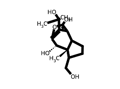 CC(C)(O)c1c2oc(O)c1C1CCC(CO)[C@]1(C)[C@@H]2O